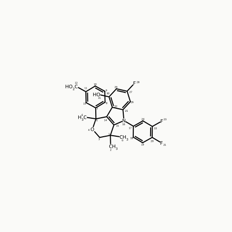 CC1(C)COC(C)(c2cccc(C(=O)O)c2)c2c1n(-c1ccc(F)c(F)c1)c1cc(F)cc(O)c21